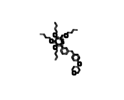 CCCCOC[C@H]1S[C@@H](c2cccc(Cc3ccc(OC4CCOCC4)cc3)c2)[C@H](OCCCC)[C@@H](OCCCC)[C@@H]1OCCCC